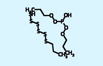 CCCOOP(O)OOCCC.CCCSSSSSS